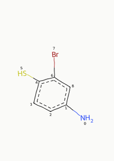 Nc1ccc(S)c(Br)c1